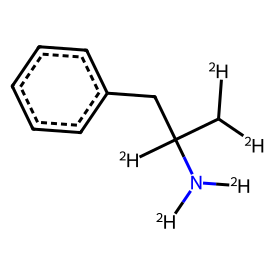 [2H]C([2H])C([2H])(Cc1ccccc1)N([2H])[2H]